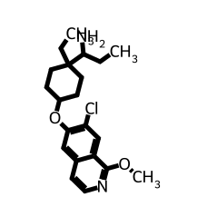 CCC(N)C1(CC)CCC(Oc2cc3ccnc(OC)c3cc2Cl)CC1